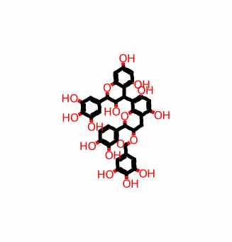 O=C(OC1Cc2c(O)cc(O)c(C3c4c(O)cc(O)cc4OC(c4cc(O)c(O)c(O)c4)C3O)c2OC1c1ccc(O)c(O)c1)c1cc(O)c(O)c(O)c1